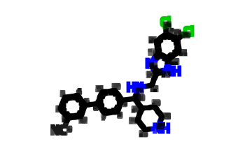 N#Cc1cccc(-c2ccc(C(NCc3nc4cc(Cl)c(Cl)cc4[nH]3)C3CCNCC3)cc2)c1